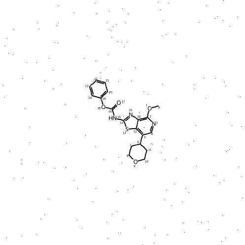 COc1ncc(C2CCOCC2)c2sc(NC(=O)Oc3ccccc3)nc12